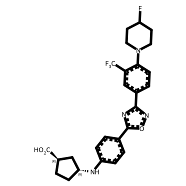 O=C(O)[C@@H]1CC[C@@H](Nc2ccc(-c3nc(-c4ccc(N5CCC(F)CC5)c(C(F)(F)F)c4)no3)cc2)C1